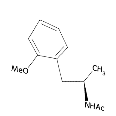 COc1ccccc1C[C@@H](C)NC(C)=O